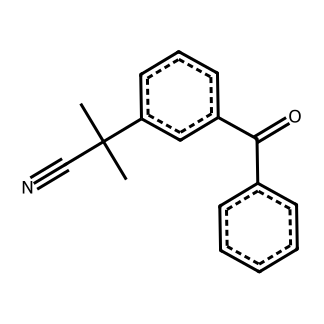 CC(C)(C#N)c1cccc(C(=O)c2ccccc2)c1